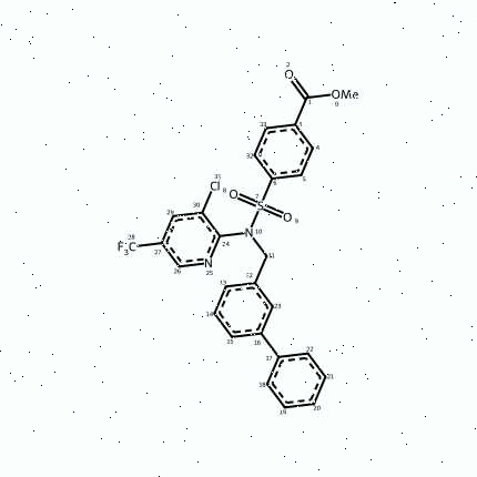 COC(=O)c1ccc(S(=O)(=O)N(Cc2cccc(-c3ccccc3)c2)c2ncc(C(F)(F)F)cc2Cl)cc1